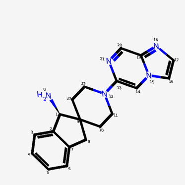 N[C@@H]1c2ccccc2CC12CCN(c1cn3ccnc3cn1)CC2